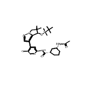 CC(=O)N[C@@H]1CCC[C@H](C(=O)Nc2cc(-c3cnn4c3C(O[Si](C)(C)C(C)(C)C)C(C)(C)C4)c(Cl)cn2)C1